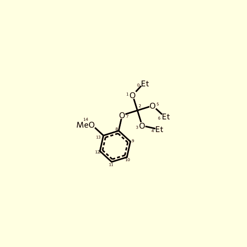 CCOC(OCC)(OCC)Oc1ccc[c]c1OC